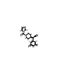 N#CC(=C1CCN(C(=O)n2ccnc2)CC1)c1cc(F)cc(F)c1